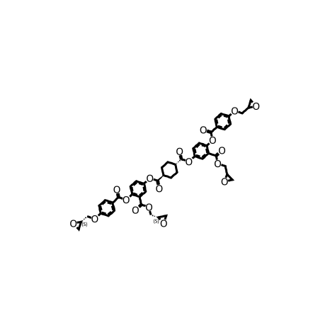 O=C(Oc1ccc(OC(=O)[C@H]2CC[C@H](C(=O)Oc3ccc(OC(=O)c4ccc(OC[C@@H]5CO5)cc4)c(C(=O)OC[C@@H]4CO4)c3)CC2)cc1C(=O)OCC1CO1)c1ccc(OCC2CO2)cc1